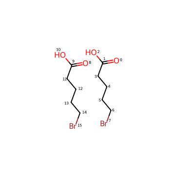 O=C(O)CCCCBr.O=C(O)CCCCBr